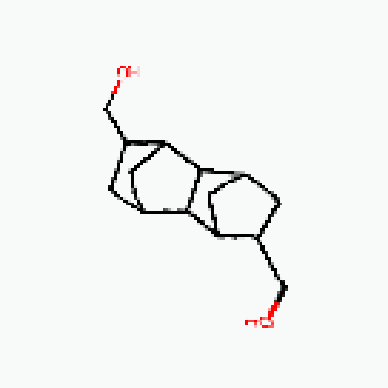 OCC1CC2CC1C1C3CC(CO)C(C3)C21